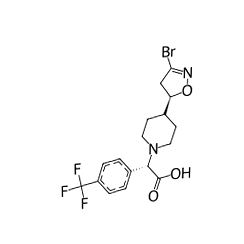 O=C(O)[C@H](c1ccc(C(F)(F)F)cc1)N1CCC([C@H]2CC(Br)=NO2)CC1